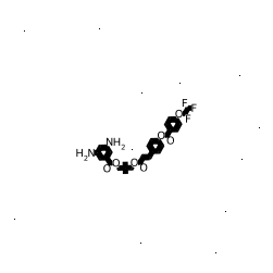 CC(C)(COC(=O)/C=C/c1ccc(OC(=O)c2ccc(OC(F)C(F)F)cc2)cc1)COC(=O)c1cc(N)cc(N)c1